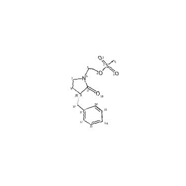 CS(=O)(=O)OCN1CC[C@@H](Cc2ccccc2)C1=O